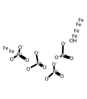 Cl.O=[N+]([O-])[O-].O=[N+]([O-])[O-].O=[N+]([O-])[O-].O=[N+]([O-])[O-].[Fe].[Fe].[Fe].[Fe].[Fe].[Fe]